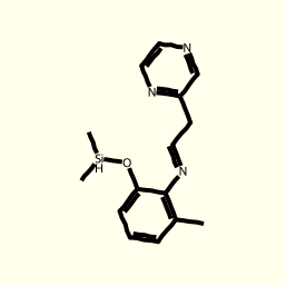 Cc1cccc(O[SiH](C)C)c1N=CCc1cnccn1